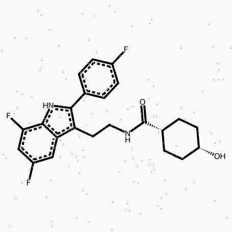 O=C(NCCc1c(-c2ccc(F)cc2)[nH]c2c(F)cc(F)cc12)[C@H]1CC[C@@H](O)CC1